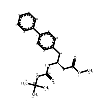 COC(=O)C[C@H](Cc1ccc(-c2ccccc2)cc1)NC(=O)OC(C)(C)C